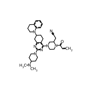 C=CC(=O)N1CCN(c2nc(N3CCC(N(C)C)CC3)nc3c2CCC(N2CCCc4ccccc42)C3)CC1CC#N